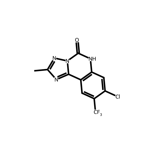 Cc1nc2c3cc(C(F)(F)F)c(Cl)cc3[nH]c(=O)n2n1